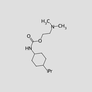 CC(C)C1CCC(NC(=O)OCCN(C)C)CC1